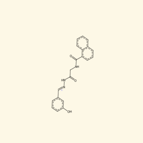 O=C(CNC(=O)c1cccc2ccccc12)N/N=C/c1cccc(O)c1